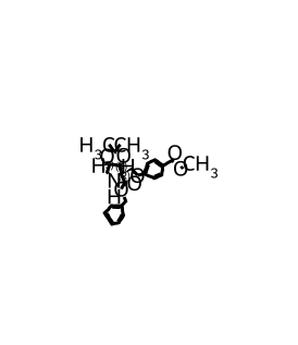 COC(=O)c1ccc(OC[C@@]2(C(=O)OCc3ccccc3)NC[C@@H]3OC(C)(C)O[C@@H]32)cc1